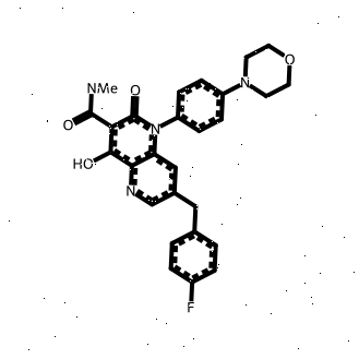 CNC(=O)c1c(O)c2ncc(Cc3ccc(F)cc3)cc2n(-c2ccc(N3CCOCC3)cc2)c1=O